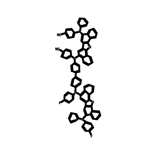 N#Cc1ccc(N(c2ccccc2)c2cc3c4cc(N(c5ccc(C#N)cc5)c5ccc(-c6ccc(N(c7ccc(F)cc7)c7cc8c9cc(N(c%10ccccc%10)c%10ccc(F)cc%10)c%10ccccc%10c9oc8c8ccccc78)cc6)cc5)c5ccccc5c4oc3c3ccccc23)cc1